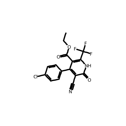 CCOC(=O)c1c(C(F)(F)F)[nH]c(=O)c(C#N)c1-c1ccc(Cl)cc1